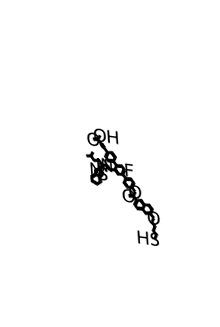 CC(C)CCN(/N=C/c1cc(-c2ccc(OC(=O)c3ccc4cc(OCCCCS)ccc4c3)cc2)c(F)cc1-c1ccc(C#CC(=O)O)cc1)c1nc2ccccc2s1